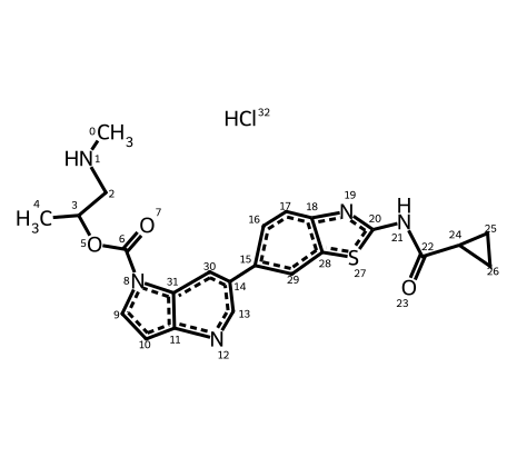 CNCC(C)OC(=O)n1ccc2ncc(-c3ccc4nc(NC(=O)C5CC5)sc4c3)cc21.Cl